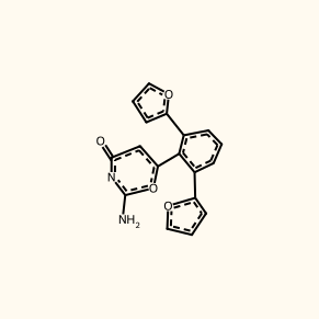 Nc1nc(=O)cc(-c2c(-c3ccco3)cccc2-c2ccco2)o1